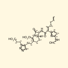 C=CCON=C(C(=O)NC1C(=O)N2C(C(=O)O)=C(CSc3nnnn3CCC(=O)O)CS[C@@H]12)c1csc(NC=O)n1